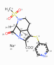 CS(=O)(=O)N1CCC2C(Sc3ccncc3)=C(C(=O)[O-])N3C(=O)[C@@H]1[C@@H]23.[Na+]